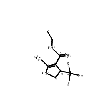 CCNC(=N)C1=C(N)NCC1C(F)(F)F